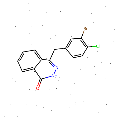 O=c1[nH]nc(Cc2ccc(Cl)c(Br)c2)c2ccccc12